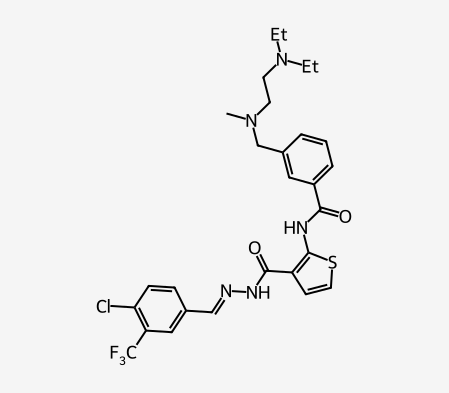 CCN(CC)CCN(C)Cc1cccc(C(=O)Nc2sccc2C(=O)NN=Cc2ccc(Cl)c(C(F)(F)F)c2)c1